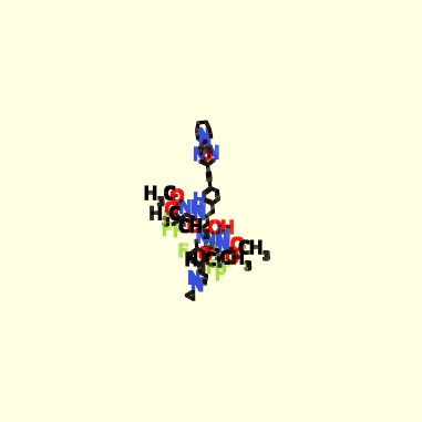 COC(=O)N[C@H](C(=O)N[C@@H](Cc1ccc(C#Cc2cnc(N3CC4CCC(C3)N4C3COC3)nc2)cc1)[C@@H](O)CN(Cc1c(F)cc(-c2ccn(C3CC3)n2)cc1F)NC(=O)[C@@H](NC(=O)OC)C(C)(C)C(F)(F)F)C(C)(C)C(F)(F)F